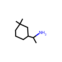 CC(N)C1CCCC(C)(C)C1